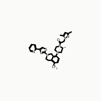 Cc1cc(C)n(CC(=O)N2CCN(c3ccc(C(F)(F)F)c4c3CN(c3nc(-c5ccccn5)cs3)CC4)C[C@H]2C)n1